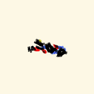 COCC(=O)N(c1ccc(C(=O)Nc2ccccc2N)cc1)c1ccsc1